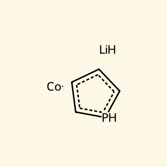 [Co].[LiH].c1cc[pH]c1